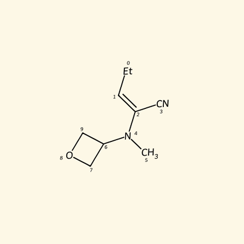 CCC=C(C#N)N(C)C1COC1